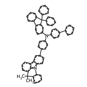 CC1(C)c2ccccc2-n2c3ccc(-c4ccc(N(c5ccc(-c6ccccc6)cc5)c5ccc6c(c5)C(c5ccccc5)(c5ccccc5)c5ccccc5-6)cc4)cc3c3cccc1c32